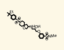 CCC(C)(C)c1ccc(S(=O)(=O)N2CCC3(CC2)CC(NCC(O)COc2cccc(S(=O)(=O)NC)c2)CO3)cc1